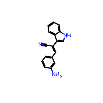 N#C/C(=C\c1cccc(N)c1)c1c[nH]c2ccccc12